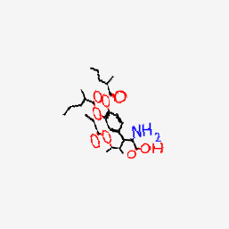 CCCC(C)C(=O)Oc1ccc(C(C(C)C(C)OC(=O)CC)[C@H](N)C(=O)O)cc1OC(=O)C(C)CCC